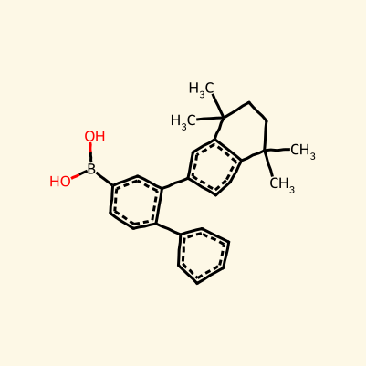 CC1(C)CCC(C)(C)c2cc(-c3cc(B(O)O)ccc3-c3ccccc3)ccc21